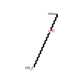 CCCCCC/C=C\CCCCCCCC(=O)OCCCCCCCCCCCCCCCCCCCCCC(=O)O